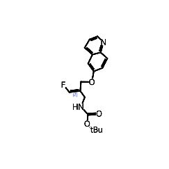 CC(C)(C)OC(=O)NC/C(=C/F)COc1ccc2ncccc2c1